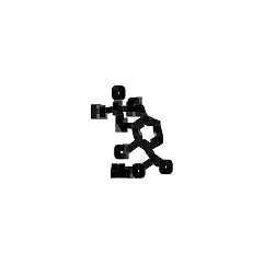 CCS(=O)(CC)=Nc1c(Cl)ccc(C(=O)OC)c1Cl